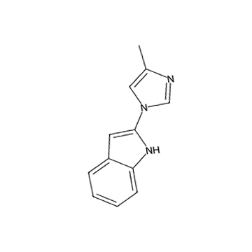 Cc1cn(-c2cc3ccccc3[nH]2)cn1